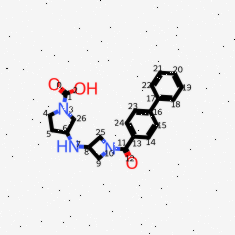 O=C(O)N1CCC(NC2CN(C(=O)c3ccc(-c4ccccc4)cc3)C2)C1